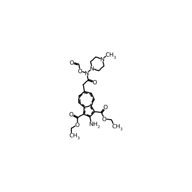 CCOC(=O)c1c2ccc(CC(=O)N(OC=O)N3CCN(C)CC3)ccc-2c(C(=O)OCC)c1N